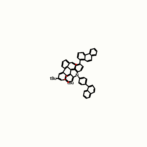 CC(C)(C)c1cc(-c2cccc3cccc(-c4ccccc4N(c4ccc(-c5cccc6ccccc56)cc4)c4ccc(-c5cccc6c5ccc5ccccc56)cc4)c23)cc(C(C)(C)C)c1